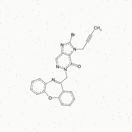 CC#CCn1c(Br)nc2cnn(CC3=Nc4ccccc4Oc4ccccc43)c(=O)c21